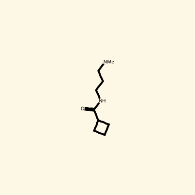 CNCCCNC(=O)C1CCC1